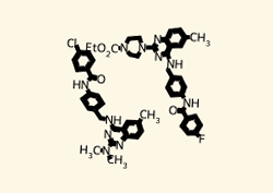 CCOC(=O)N1CCN(c2nc(NCc3ccc(NC(=O)c4ccc(F)cc4)cc3)c3cc(C)ccc3n2)CC1.Cc1ccc2nc(N(C)C)nc(NCc3ccc(NC(=O)c4ccc(Cl)cc4)cc3)c2c1